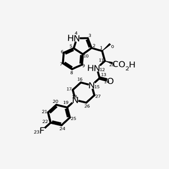 C[C@H](c1c[nH]c2ccccc12)[C@H](NC(=O)N1CCN(c2ccc(F)cc2)CC1)C(=O)O